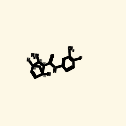 N[C@H]1[C@@H](C(=O)Nc2ccc(F)c(C(F)(F)F)c2)[C@@H]2C=C[C@H]1C2